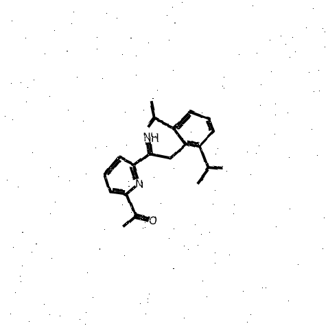 CC(=O)c1cccc(C(=N)Cc2c(C(C)C)cccc2C(C)C)n1